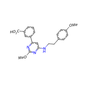 COc1ccc(CCNc2cc(-c3cccc(C(=O)O)c3)nc(OC)n2)cc1